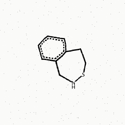 c1ccc2c(c1)CCSNC2